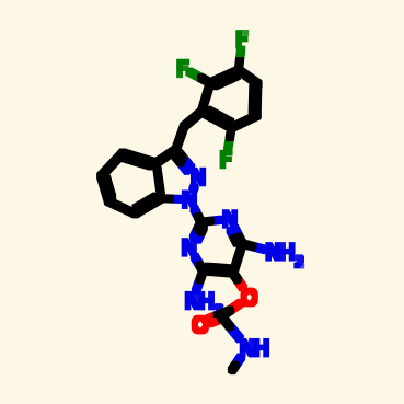 CNC(=O)Oc1c(N)nc(-n2nc(Cc3c(F)ccc(F)c3F)c3ccccc32)nc1N